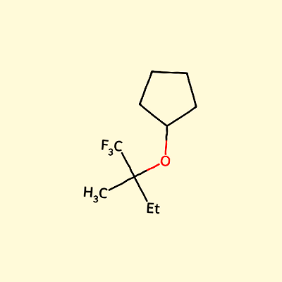 CCC(C)(OC1CCCC1)C(F)(F)F